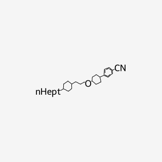 CCCCCCCC1CCC(CCCOC2CCC(c3ccc(C#N)cc3)CC2)CC1